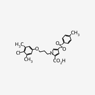 Cc1ccc(S(=O)(=O)c2cc(C(=O)O)n(CCCOc3cc(C)c(Cl)c(C)c3)c2)cc1